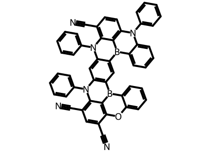 N#Cc1cc(C#N)c2c3c1Oc1ccccc1B3c1cc3c(cc1N2c1ccccc1)N(c1ccccc1)c1c(C#N)ccc2c1B3c1ccccc1N2c1ccccc1